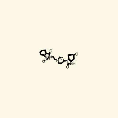 O=C(NCCN1CCC(n2c(=O)[nH]c3cc(Cl)ccc32)CC1)c1ccccc1[N+](=O)[O-]